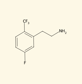 NCCc1cc(F)ccc1C(F)(F)F